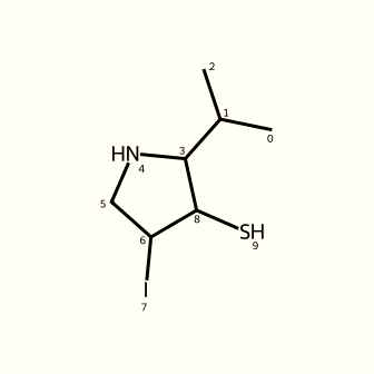 CC(C)C1NCC(I)C1S